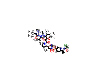 CCC(C)C(C(CC(=O)N1CCC[C@H]1C(OC)C(C)C(=O)NS(=O)(=O)c1ccc(C2(NC(=O)C(F)(F)F)CC2)cc1)OC)N(C)C(=O)C(NC(=O)C(C(C)C)N(C)C)C(C)C